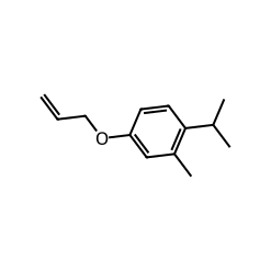 C=CCOc1ccc(C(C)C)c(C)c1